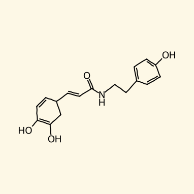 O=C(C=CC1C=CC(O)=C(O)C1)NCCc1ccc(O)cc1